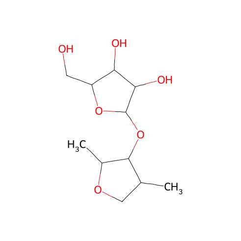 CC1COC(C)C1OC1OC(CO)C(O)C1O